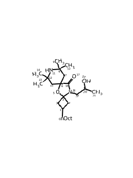 CCCCCCCCC1CC2(C1)OC1(CC(C)(C)NC(C)(C)C1)C(=O)N2CC(C)O